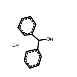 OC(c1ccccc1)c1ccccc1.[LiH]